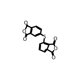 O=C1OC(=O)c2cc(Sc3cccc4c3C(=O)OC4=O)ccc21